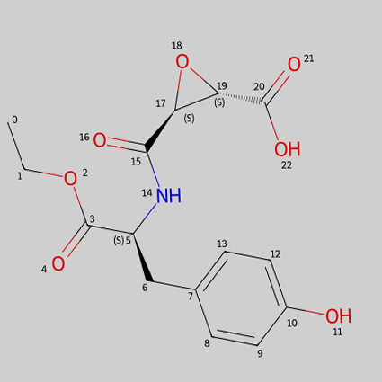 CCOC(=O)[C@H](Cc1ccc(O)cc1)NC(=O)[C@H]1O[C@@H]1C(=O)O